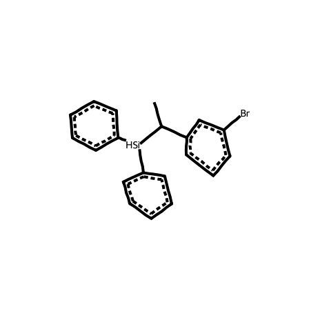 CC(c1cccc(Br)c1)[SiH](c1ccccc1)c1ccccc1